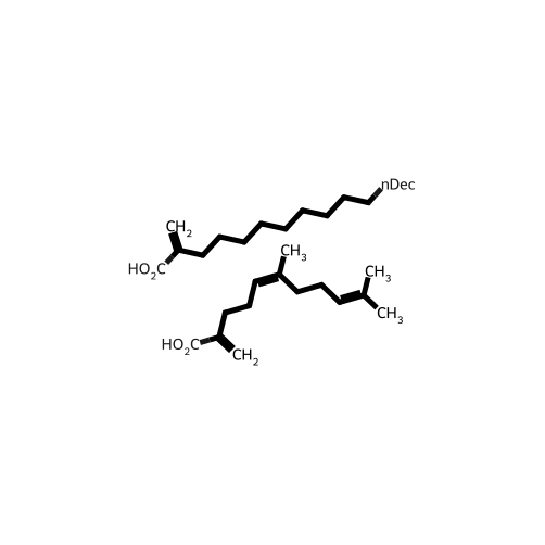 C=C(CC/C=C(/C)CCC=C(C)C)C(=O)O.C=C(CCCCCCCCCCCCCCCCCCC)C(=O)O